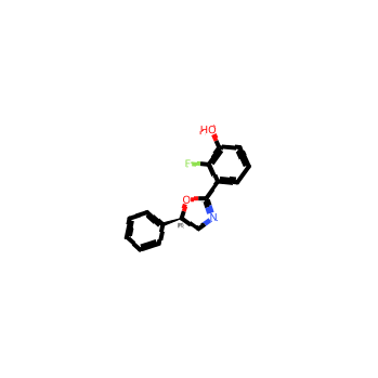 Oc1cccc(C2=NC[C@@H](c3ccccc3)O2)c1F